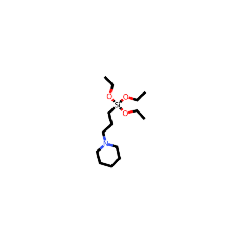 CCO[Si](CCCN1CCCCC1)(OCC)OCC